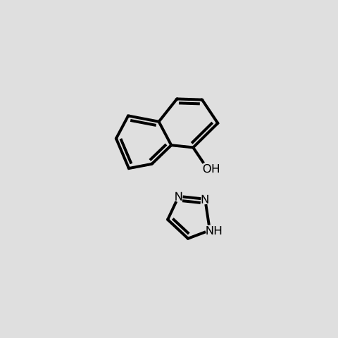 Oc1cccc2ccccc12.c1c[nH]nn1